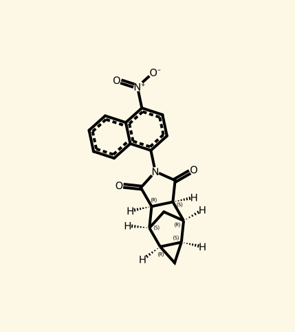 O=C1[C@@H]2[C@H]3C[C@H]([C@H]4C[C@H]43)[C@@H]2C(=O)N1c1ccc([N+](=O)[O-])c2ccccc12